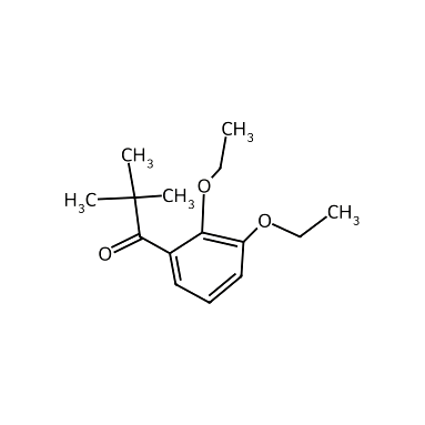 CCOc1cccc(C(=O)C(C)(C)C)c1OCC